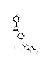 C[C@]1(COc2ccc(-c3coc(-c4ccc(Cl)cc4)n3)cc2)Cn2cc([N+](=O)[O-])nc2O1